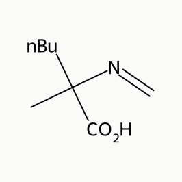 C=NC(C)(CCCC)C(=O)O